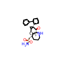 CC1C[C@]1(C(=O)[C@H]1C[C@@H](CS(N)(=O)=O)CCCN1)c1ccccc1-c1ccccc1